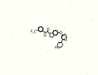 O=C(Nc1cccc(C(F)(F)F)c1)N1CCc2cc(Oc3cc(C4=CCNCC4)ncn3)ccc21